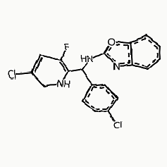 FC1=C(C(Nc2nc3ccccc3o2)c2ccc(Cl)cc2)NCC(Cl)=C1